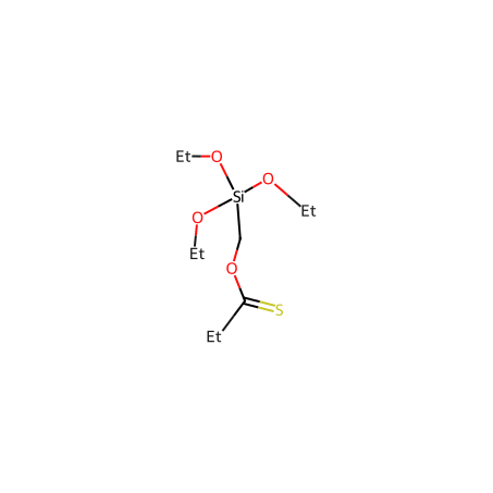 CCO[Si](COC(=S)CC)(OCC)OCC